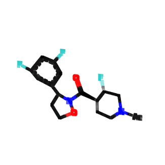 CC(=O)N1CC[C@@H](C(=O)N2OCCC2c2cc(F)cc(F)c2)[C@H](F)C1